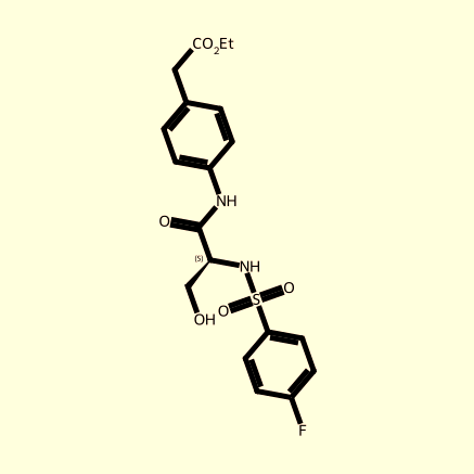 CCOC(=O)Cc1ccc(NC(=O)[C@H](CO)NS(=O)(=O)c2ccc(F)cc2)cc1